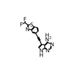 Nc1ncnc2[nH]cc(C#Cc3ccc4sc(C(F)F)nc4c3)c12